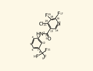 O=C(Nc1cccc(C(F)(F)F)c1)c1cnc(F)c(F)c1Cl